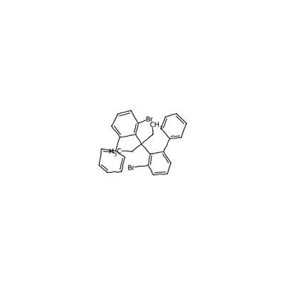 CCC(CC)(c1c(Br)cccc1-c1ccccc1)c1c(Br)cccc1-c1ccccc1